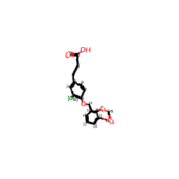 O=C(O)CCc1ccc(OCc2cccc3c2OCO3)c(F)c1